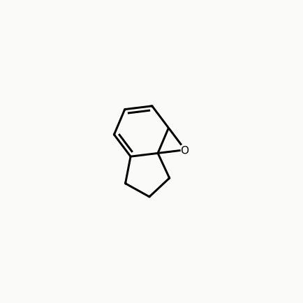 C1=CC2OC23CCCC3=C1